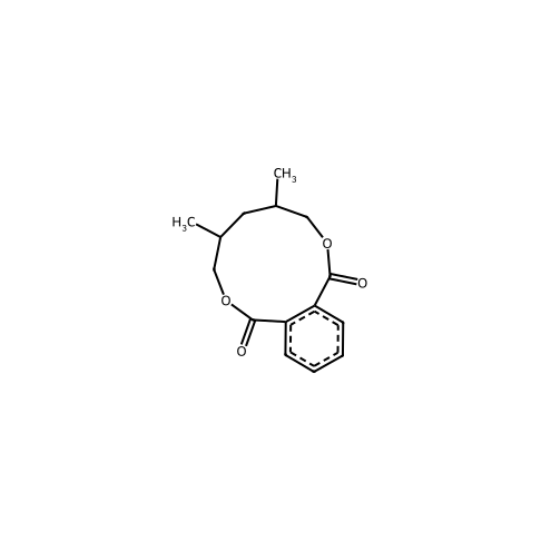 CC1COC(=O)c2ccccc2C(=O)OCC(C)C1